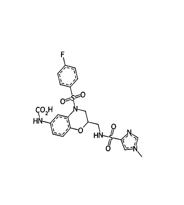 Cn1cnc(S(=O)(=O)NCC2CN(S(=O)(=O)c3ccc(F)cc3)c3cc(NC(=O)O)ccc3O2)c1